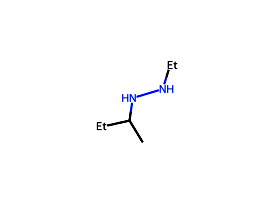 CCNNC(C)CC